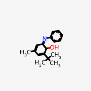 CC1=CC(=Nc2ccccc2)C(O)C(C(C)(C)C)=C1